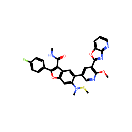 CNC(=O)c1c(-c2ccc(F)cc2)oc2cc(N(C)SC)c(-c3cnc(OC)c(-c4nc5ncccc5o4)c3)cc12